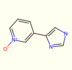 [O-][n+]1cccc(C2=C[N]C=N2)c1